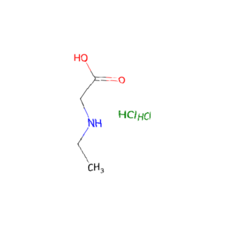 CCNCC(=O)O.Cl.Cl